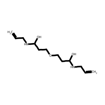 C=CCNC(O)CCOCCC(O)NCC=C